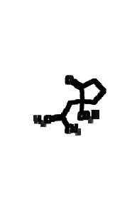 C=C(C)CC1(C(=O)O)CCCC1=O